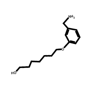 NCc1cccc(OCCCCCCCO)c1